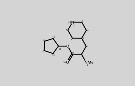 CNC(CC1CCNCC1)C(=O)OC1CCCC1